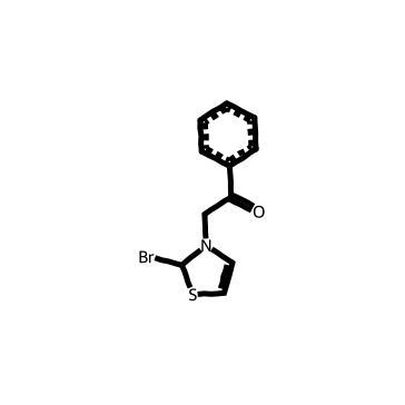 O=C(CN1C=CSC1Br)c1ccccc1